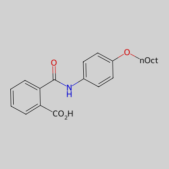 CCCCCCCCOc1ccc(NC(=O)c2ccccc2C(=O)O)cc1